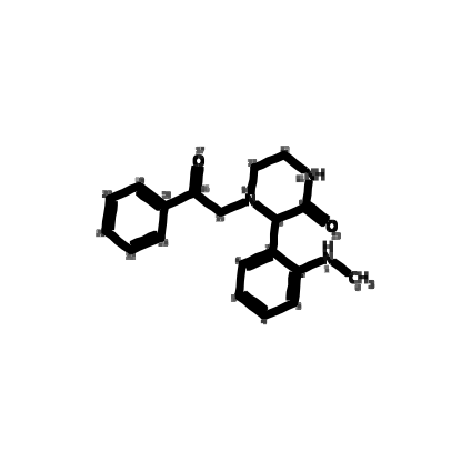 CNc1ccccc1C1C(=O)NCCN1CC(=O)c1ccccc1